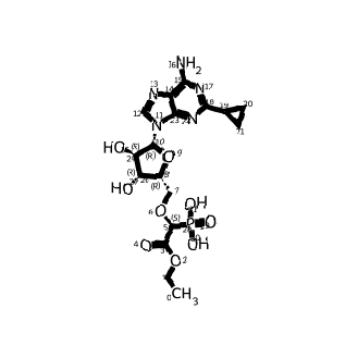 CCOC(=O)[C@@H](OC[C@H]1O[C@@H](n2cnc3c(N)nc(C4CC4)nc32)[C@H](O)[C@H]1O)P(=O)(O)O